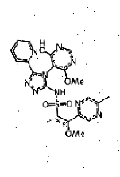 COc1ncnc(O)c1-n1c(NS(=O)(=O)[C@@H](C)[C@H](OC)c2cnc(C)cn2)nnc1C1=C=C=CC=N1